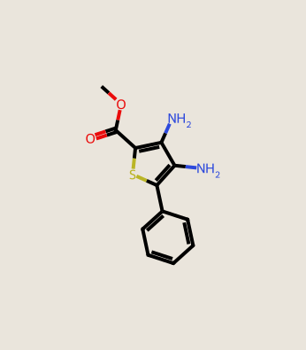 COC(=O)c1sc(-c2ccccc2)c(N)c1N